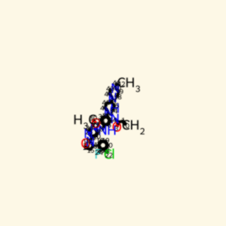 C=CC(=O)Nc1cc(Nc2cc(N3OCC[C@@H]3c3cccc(Cl)c3F)ncn2)c(OC)cc1N1CCC(N2CCN(CC)CC2)CC1